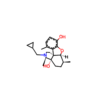 Cc1ccc(O)c2c1[C@]13CCN(CC4CC4)[C@H](C)[C@]1(O)CC[C@H](C)[C@@H]3O2